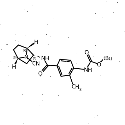 Cc1cc(C(=O)N[C@@H]2C[C@@H]3CC[C@H]2N3C#N)ccc1NC(=O)OC(C)(C)C